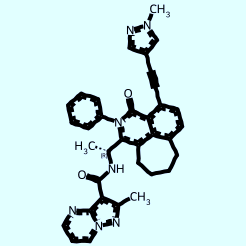 Cc1nn2cccnc2c1C(=O)N[C@H](C)c1c2c3c(ccc(C#Cc4cnn(C)c4)c3c(=O)n1-c1ccccc1)CCCC2